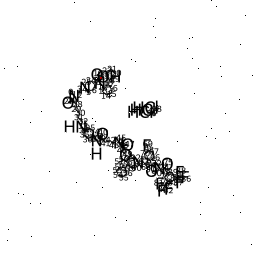 CN(CCN1CCC(N(C(=O)O)c2ccccc2-c2ccccc2)CC1)C(=O)CCCCCNc1ccc(NC(=O)CCCN(C)C(=O)CO[C@H]2Cc3ccccc3C23CCN(CC[C@]2(c4ccc(F)cc4)CN(C(=O)c4cc(C(F)(F)F)cc(C(F)(F)F)c4)CO2)CC3)cc1.Cl.Cl.Cl